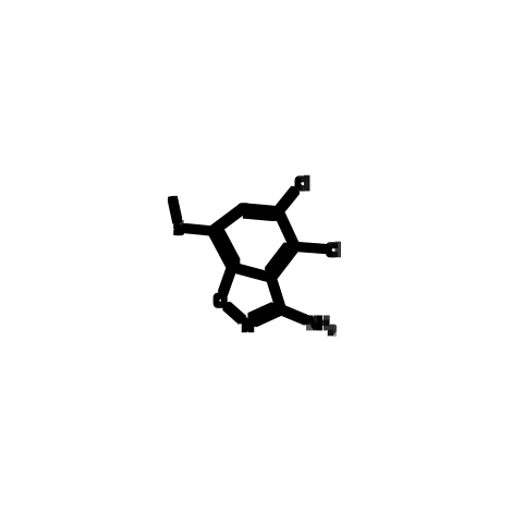 CSc1cc(Cl)c(Cl)c2c(N)noc12